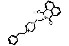 O=C1c2cccc3cccc(c23)C(O)N1CCN1CCN(CCc2ccccc2)CC1